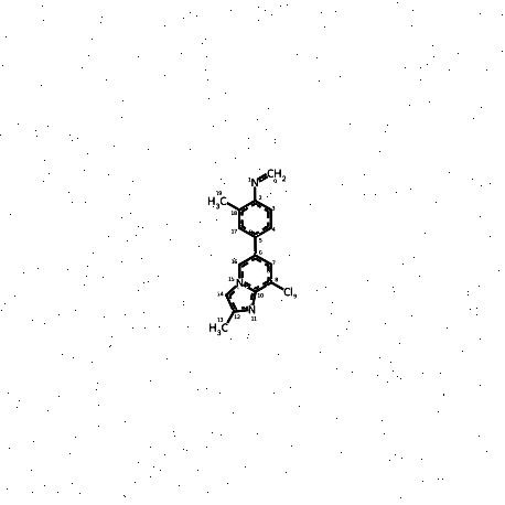 C=Nc1ccc(-c2cc(Cl)c3nc(C)cn3c2)cc1C